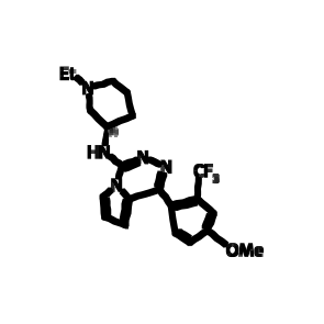 CCN1CCC[C@@H](Nc2nnc(-c3ccc(OC)cc3C(F)(F)F)c3cccn23)C1